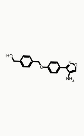 Nc1conc1-c1ccc(OCc2ccc(CO)cc2)cc1